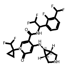 O=C(NC(c1cccc(C(F)F)c1F)C(F)F)c1cn(C2(C(F)F)CC2)c(=O)cc1N[C@H]1[C@@H]2CNC[C@@H]21